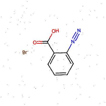 N#[N+]c1ccccc1C(=O)O.[Br-]